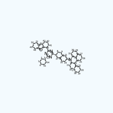 c1ccc(-c2nc(-c3ccc4cc(N5c6ccc7ccccc7c6-c6cccc7cccc5c67)ccc4c3)nc(-c3cccc4c3oc3ccccc34)n2)cc1